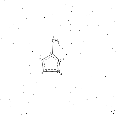 Cc1[c]cno1